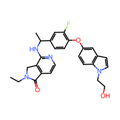 CCN1Cc2c(ccnc2NC(C)c2ccc(Oc3ccc4c(ccn4CCO)c3)c(F)c2)C1=O